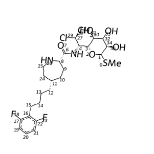 CSC1O[C@H]([C@H](NC(=O)[C@@H]2CC[C@H](CCCCc3c(F)cccc3F)CCN2)[C@H](C)Cl)C(O)C(O)[C@H]1O